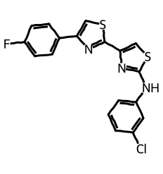 Fc1ccc(-c2csc(-c3csc(Nc4cccc(Cl)c4)n3)n2)cc1